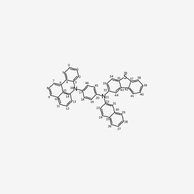 c1ccc2c(c1)-c1cccc3cccc(c13)N2c1ccc(N(c2ccc3ccccc3c2)c2ccc3sc4ccccc4c3c2)cc1